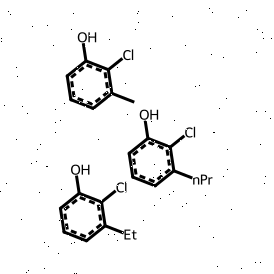 CCCc1cccc(O)c1Cl.CCc1cccc(O)c1Cl.Cc1cccc(O)c1Cl